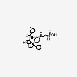 O=C(O)NCCC(=O)N1CCN(c2c(-c3ccccc3)cnc3[nH]cc(NC(=O)c4cccnc4)c23)CC1